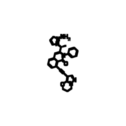 C[C@@H](c1cc2cccc(C#Cc3cnn4c3OCCC4)c2c(=O)n1-c1ccccc1)N1C=CCN1N